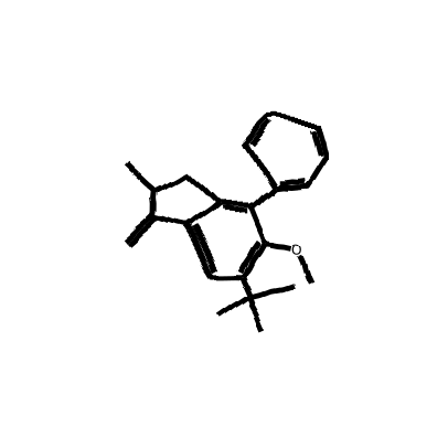 C=C1c2cc(C(C)(C)C)c(OC)c(-c3ccccc3)c2CC1C